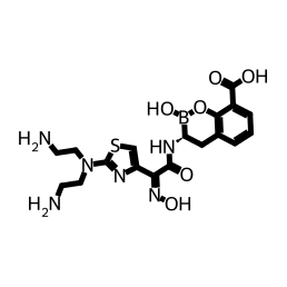 NCCN(CCN)c1nc(/C(=N/O)C(=O)N[C@H]2Cc3cccc(C(=O)O)c3OB2O)cs1